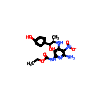 CCOC(=O)Nc1cc(N[C@@H](C)[C@@H](O)c2ccc(O)cc2)c([N+](=O)[O-])c(N)n1